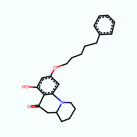 O=C1CC2CCCCN2c2cc(OCCCCCc3ccccc3)cc(O)c21